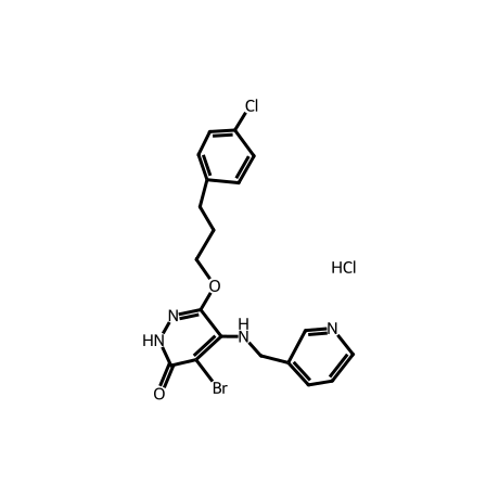 Cl.O=c1[nH]nc(OCCCc2ccc(Cl)cc2)c(NCc2cccnc2)c1Br